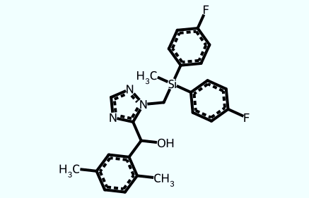 Cc1ccc(C)c(C(O)c2ncnn2C[Si](C)(c2ccc(F)cc2)c2ccc(F)cc2)c1